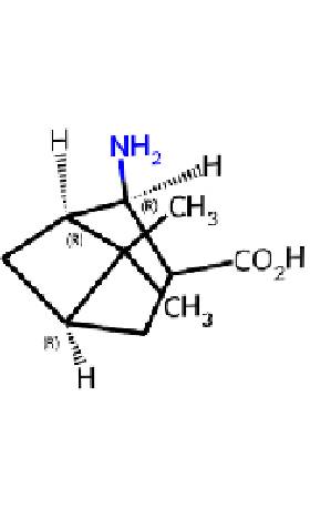 CC1(C)[C@H]2CC(C(=O)O)[C@H](N)[C@@H]1C2